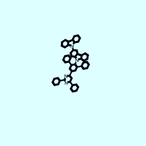 c1ccc(-c2cc(-c3cc(-c4ccccc4)c(-n4c5ccccc5c5cc(-n6c7ccccc7c7ccccc76)ccc54)c(-c4ccccc4)c3)nc(-c3ccccc3)n2)cc1